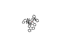 c1ccc(-n2c3ccccc3c3cc(-c4nc5ccc6ccccc6c5nc4-n4c5ccc6ccccc6c5c5c6c7ccccc7c7ccccc7c6ccc54)ccc32)cc1